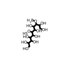 BOC(C(O)CO)C(O)C(O)C(OS)C(O)C(O)C(O)C(O)CO